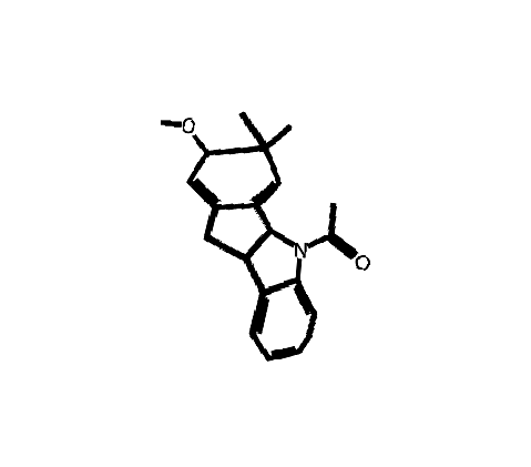 COC1C=C2CC3c4ccccc4N(C(C)=O)C3C2=CC1(C)C